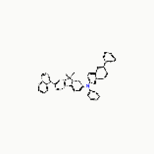 CC1(C)c2cc(-c3cccc4ccccc34)ccc2-c2ccc(N(c3ccccc3)c3ccc4cc(-c5ccccc5)ccc4c3)cc21